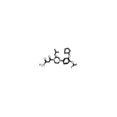 CC(C)C[C@H]1CN(c2ccc(OC(F)F)c(OC3CCCC3)c2)CCN1C(=O)CC(N)=O